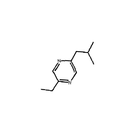 CCc1cnc(CC(C)C)cn1